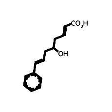 O=C(O)/C=C/CC(O)C/C=C/c1ccccc1